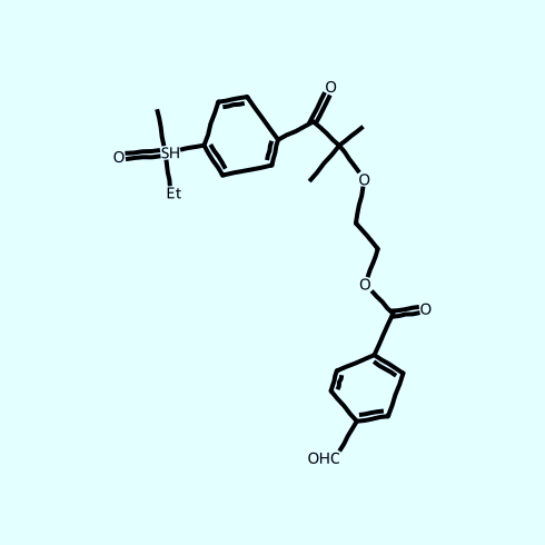 CC[SH](C)(=O)c1ccc(C(=O)C(C)(C)OCCOC(=O)c2ccc(C=O)cc2)cc1